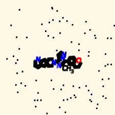 Cc1nc(N2CCC3(CC2)Cc2cccnc2C3)c2ccnn2c1-c1ccc2c(c1)CCCO2